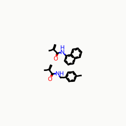 C=C(C)C(=O)NCc1ccc(C)cc1.C=C(C)C(=O)Nc1cccc2ccccc12